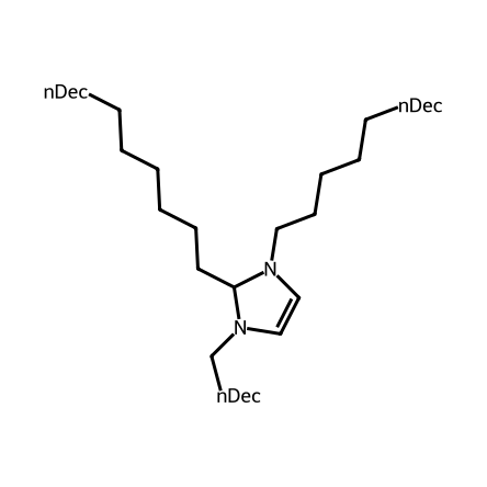 CCCCCCCCCCCCCCCCC1N(CCCCCCCCCCC)C=CN1CCCCCCCCCCCCCCC